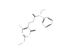 CCN(C(=O)CCc1c(C)nc(SC)[nH]c1=O)c1ccccc1